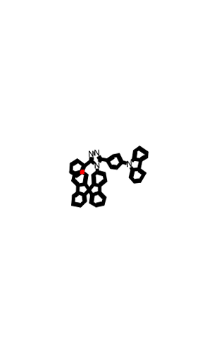 c1ccc(-c2nnc(-c3ccc(-n4c5ccccc5c5ccccc54)cc3)n2-c2ccc3c(c2)C2(c4ccccc4-c4ccccc42)c2ccccc2-3)cc1